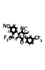 [C-]#[N+]C1=C(C)N(c2cccc(C(F)(F)F)c2)C(=O)N(C)[C@@H]1c1ccc(C#N)cc1SC(F)(F)F